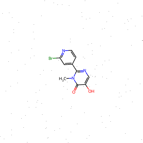 Cn1c(-c2ccnc(Br)c2)ncc(O)c1=O